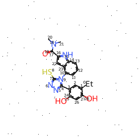 CCc1cc(-c2nnc(S)n2-c2cccc3[nH]c(C(=O)N(C)C)cc23)c(O)cc1O